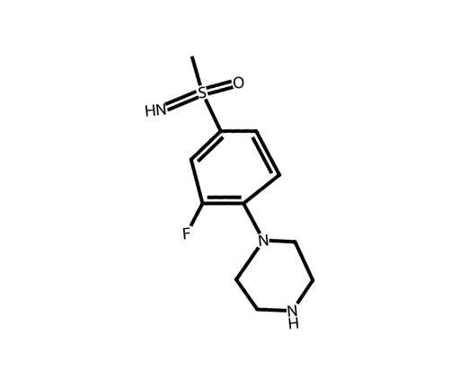 CS(=N)(=O)c1ccc(N2CCNCC2)c(F)c1